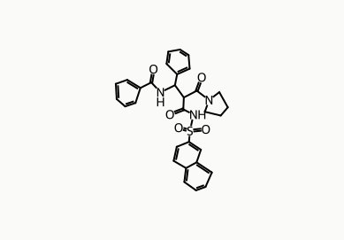 O=C(NC(c1ccccc1)C(C(=O)NS(=O)(=O)c1ccc2ccccc2c1)C(=O)N1CCCC1)c1ccccc1